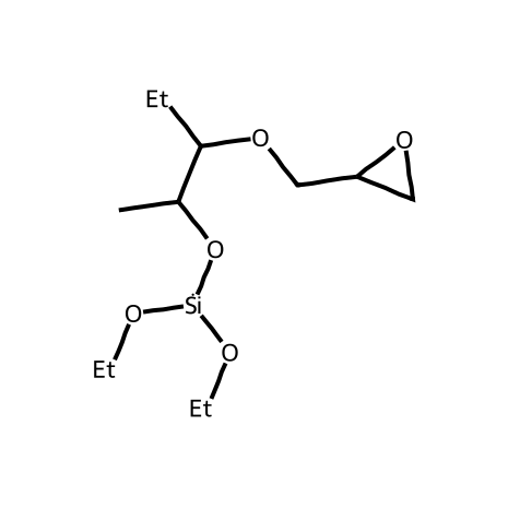 CCO[Si](OCC)OC(C)C(CC)OCC1CO1